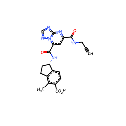 C#CCNC(=O)c1cc(C(=O)N[C@H]2CCc3c2ccc(C(=O)O)c3C)n2ncnc2n1